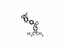 CC(C)N1CCN(C(=O)c2ccc(-c3cn4c(I)cnc4cn3)cc2)CC1